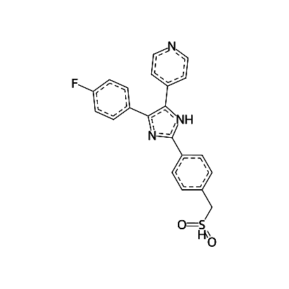 O=[SH](=O)Cc1ccc(-c2nc(-c3ccc(F)cc3)c(-c3ccncc3)[nH]2)cc1